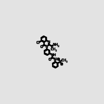 C[C@H](N)c1nc2cccc(Cl)c2c(=O)n1-c1cccc(NC(=O)Nc2ccccc2S(C)(=O)=O)c1